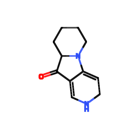 O=C1C2=CNCC=C2N2CCCCC12